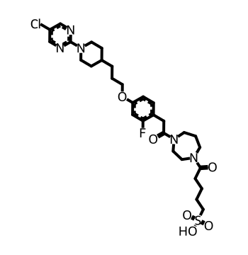 O=C(CCCCS(=O)(=O)O)N1CCCN(C(=O)Cc2ccc(OCCCC3CCN(c4ncc(Cl)cn4)CC3)cc2F)CC1